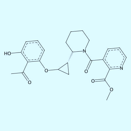 COC(=O)c1ncccc1C(=O)N1CCCCC1[C@@H]1CC1Oc1cccc(O)c1C(C)=O